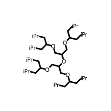 CC(C)CC(CC(C)C)OCC(COC(CC(C)C)CC(C)C)OC(COC(CC(C)C)CC(C)C)COC(CC(C)C)CC(C)C